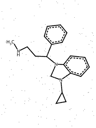 CNCCC(c1ccccc1)N1[CH]N(C2CC2)c2ccccc21